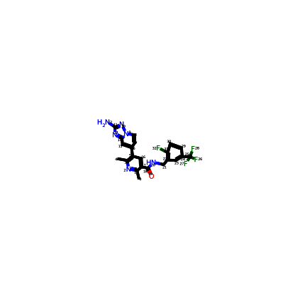 Cc1nc(C)c(-c2ccn3nc(N)nc3c2)cc1C(=O)NCc1cc(C(F)(F)F)ccc1F